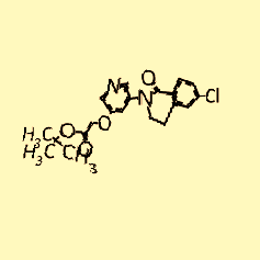 CC(C)(C)OC(=O)COc1cncc(N2CCc3cc(Cl)ccc3C2=O)c1